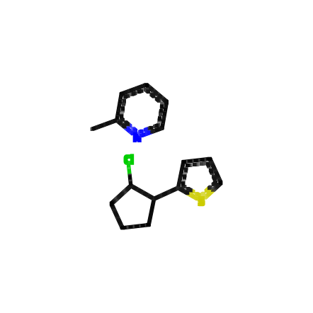 Cc1ccccn1.ClC1CCCC1c1cccs1